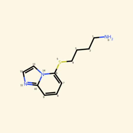 NCCCCSc1cccc2nccn12